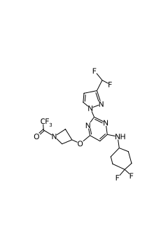 O=C(N1CC(Oc2cc(NC3CCC(F)(F)CC3)nc(-n3ccc(C(F)F)n3)n2)C1)C(F)(F)F